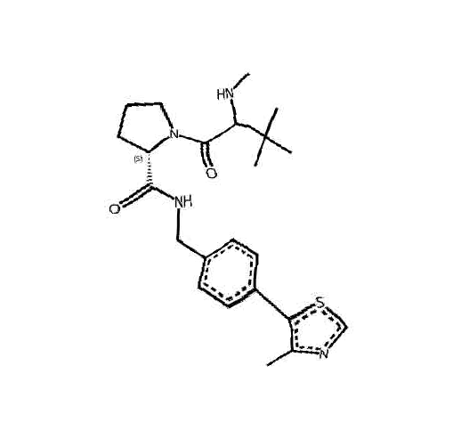 CNC(C(=O)N1CCC[C@H]1C(=O)NCc1ccc(-c2scnc2C)cc1)C(C)(C)C